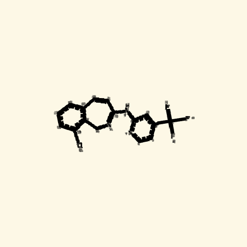 FC(F)(F)c1ccnc(NC2=NCc3c(Cl)cccc3C=C2)c1